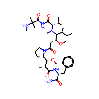 CC[C@H](C)[C@@H]([C@@H](CC(=O)N1CCC[C@H]1[C@H](OC)[C@@H](C)C(=O)N[C@@H](Cc1ccccc1)C(N)=O)OC)N(C)[C@H](C(=O)NC(=O)C(C)(C)NC)C(C)C